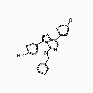 Cc1ccc(-c2csc3c(-c4ccc(O)cc4)cnc(NCc4ccccc4)c23)cc1